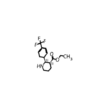 CCOC(=O)[C@H]1CCCN[C@H]1C1C=CC(C(F)(F)F)=CC1